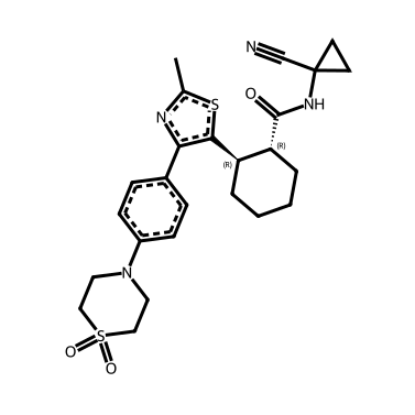 Cc1nc(-c2ccc(N3CCS(=O)(=O)CC3)cc2)c([C@@H]2CCCC[C@H]2C(=O)NC2(C#N)CC2)s1